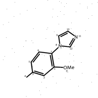 COc1cc(C)ccc1-n1ccnc1